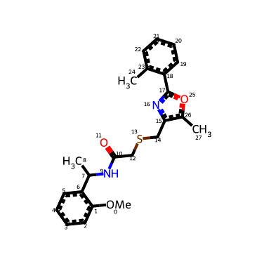 COc1ccccc1C(C)NC(=O)CSCc1nc(-c2ccccc2C)oc1C